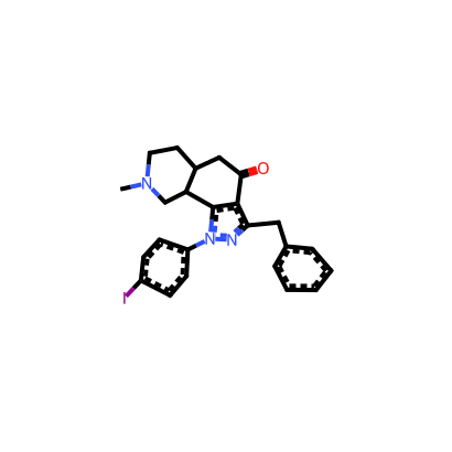 CN1CCC2CC(=O)c3c(Cc4ccccc4)nn(-c4ccc(I)cc4)c3C2C1